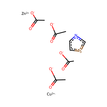 CC(=O)[O-].CC(=O)[O-].CC(=O)[O-].CC(=O)[O-].[Cu+2].[Zn+2].c1cscn1